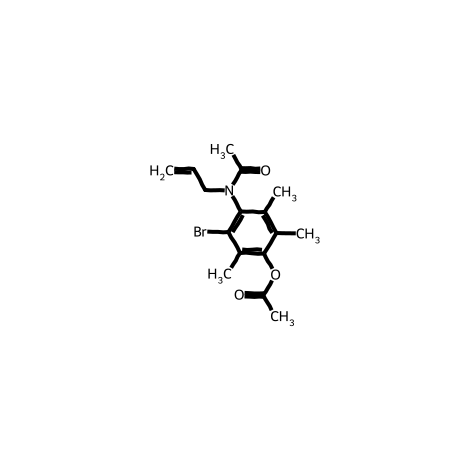 C=CCN(C(C)=O)c1c(C)c(C)c(OC(C)=O)c(C)c1Br